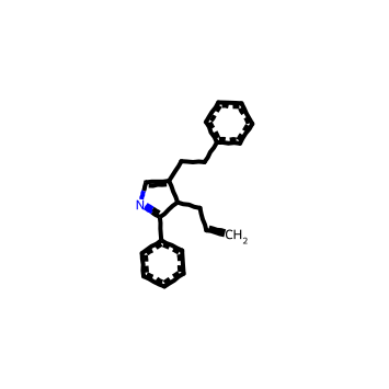 C=CCC1C(CCc2ccccc2)=CN=C1c1ccccc1